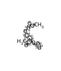 CCOC(=O)N1CC(Oc2ccc3c(c2)CCn2c(OC[C@@H]4COCCO4)cc(=O)c(C)c2-3)C1